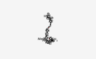 COc1cc(N2CCC(N3CCN(CCCCC#Cc4ccc5c(c4)CN(C4CCC(=O)NC4=O)C5=O)CC3)CC2)ccc1Nc1ncc(Cl)c(Nc2ccccc2P(C)(C)=O)n1